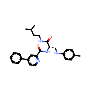 Cc1ccc(NC[C@H](NC(=O)c2cc(-c3ccccc3)ccn2)C(=O)N[CH]CC(C)C)cc1